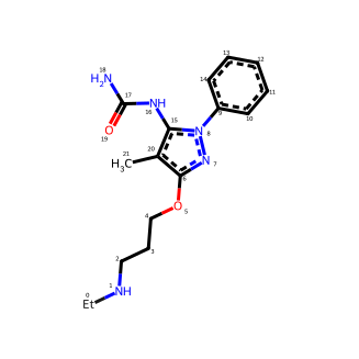 CCNCCCOc1nn(-c2ccccc2)c(NC(N)=O)c1C